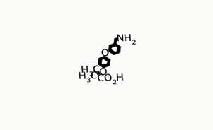 CC(C)(Oc1ccc(Oc2cccc(CN)c2)cc1)C(=O)O